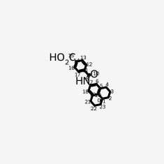 CC12CCCc3cc(NC(=O)c4ccc(C(=O)O)cc4)cc(c31)CCC2